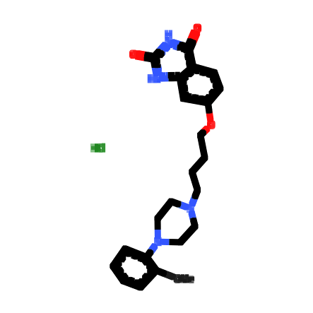 COc1ccccc1N1CCN(CCCCOc2ccc3c(=O)[nH]c(=O)[nH]c3c2)CC1.Cl